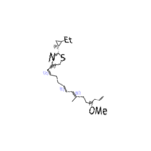 C=CC[C@@H](CC/C(C)=C/C=C/CC/C=C\[C@@H]1CSC([C@@H]2CC2CC)=N1)OC